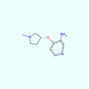 CN1CC[C@@H](Oc2ccncc2N)C1